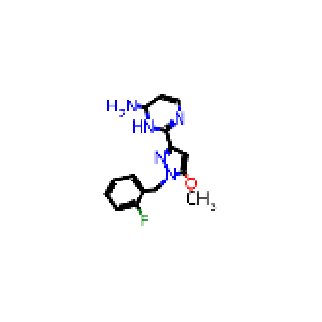 COc1cc(C2=NC=CC(N)N2)nn1Cc1ccccc1F